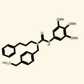 COc1cc(NC(=O)N(CCCc2ccccc2)Cc2ccc(CC(=O)O)cc2)cc(OC)c1OC